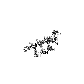 COc1cc2nc3c(C#N)c(C)c(N=Nc4cc(C)c(N=Nc5cc(C)c(N=Nc6cc(C)c(N=Nc7ccccc7)cc6SCCCS(=O)(=O)O)cc5SCCCS(=O)(=O)O)cc4OCCCS(=O)(=O)O)c(O)n3c2cc1S(=O)(=O)O